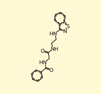 O=C(CNC(=O)c1ccccc1)NCCNc1nsc2ccccc12